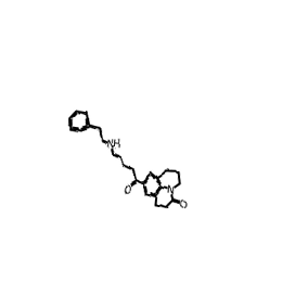 O=C(CCCCNCCc1ccccc1)c1cc2c3c(c1)CCC(=O)N3CCC2